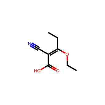 CCOC(CC)=C(C#N)C(=O)O